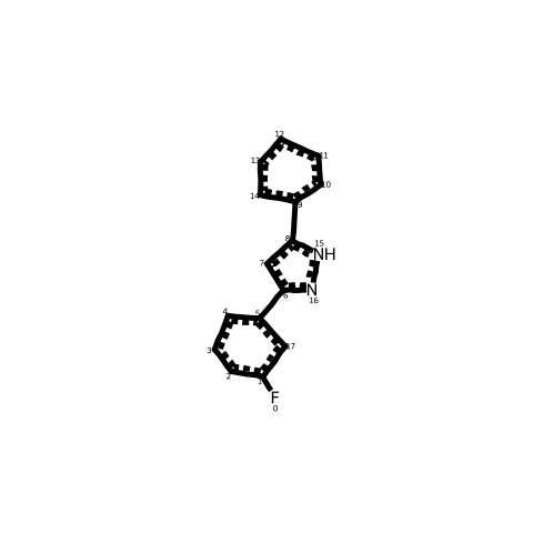 Fc1cccc(-c2cc(-c3ccccc3)[nH]n2)c1